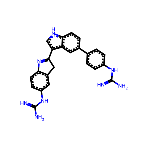 N=C(N)Nc1ccc(-c2ccc3[nH]cc(C4=Nc5ccc(NC(=N)N)cc5C4)c3c2)cc1